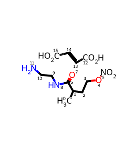 CC(CCO[N+](=O)[O-])C(=O)NCCN.O=C(O)C=CC(=O)O